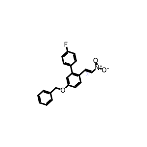 O=[N+]([O-])/C=C/c1ccc(OCc2ccccc2)cc1-c1ccc(F)cc1